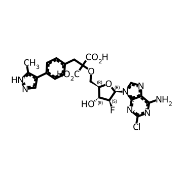 Cc1[nH]ncc1-c1ccc(CC(OC[C@H]2O[C@@H](n3cnc4c(N)nc(Cl)nc43)[C@@H](F)[C@@H]2O)(C(=O)O)C(=O)O)cc1